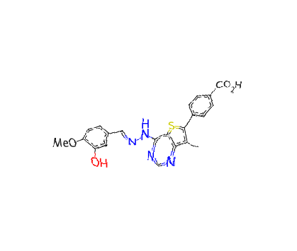 COc1ccc(C=NNc2ncnc3c(C)c(-c4ccc(C(=O)O)cc4)sc23)cc1O